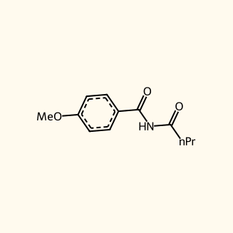 CCCC(=O)NC(=O)c1ccc(OC)cc1